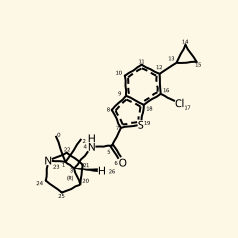 CC1(C)[C@H](NC(=O)c2cc3ccc(C4CC4)c(Cl)c3s2)C2CCN1CC2